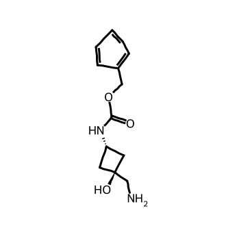 NC[C@]1(O)C[C@H](NC(=O)OCc2ccccc2)C1